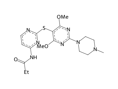 CCC(=O)Nc1ccnc(Sc2c(OC)nc(N3CCN(C)CC3)nc2OC)n1